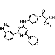 CN(C)C(=O)c1ccc(Nc2nc(-c3cccc4[nH]ncc34)nc(N3CCOCC3)n2)cc1